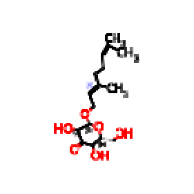 CC(C)=CCC/C(C)=C/CO[C@@H]1O[C@H](CO)C(O)C(=O)[C@H]1O